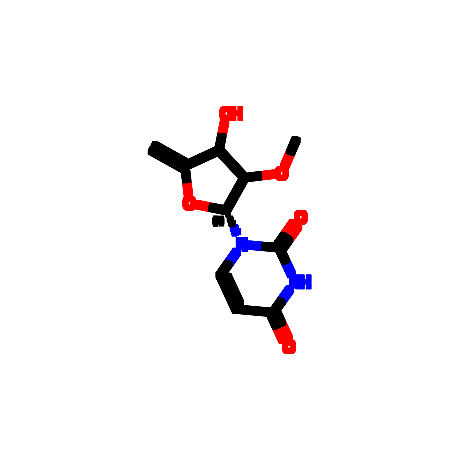 C=C1O[C@@H](n2ccc(=O)[nH]c2=O)C(OC)C1O